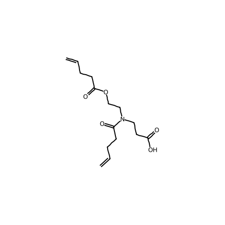 C=CCCC(=O)OCCN(CCC(=O)O)C(=O)CCC=C